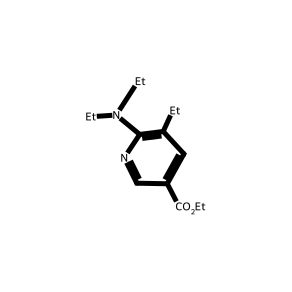 CCOC(=O)c1cnc(N(CC)CC)c(CC)c1